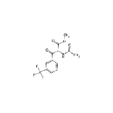 COC(=O)C(NC(C)=O)C(=O)c1cccc(C(F)(F)F)c1